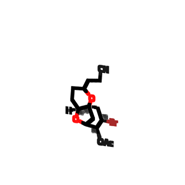 CC(=O)O[C@H]1C2C[C@]3(C[C@H]1Br)OC(CCC#N)CC[C@@H]3O2